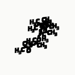 CC(C)C(=O)SCC(C)(C)OCCSP(N(C(C)C)C(C)C)N(C(C)C)C(C)C